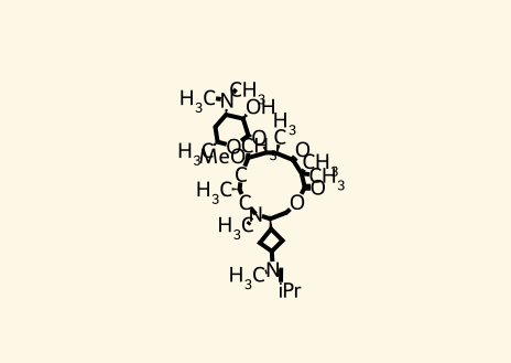 CO[C@]1(C)C[C@@H](C)CN(C)[C@H](C2CC(N(C)CC(C)C)C2)COC(=O)C(C)(C)C(=O)[C@H](C)[C@H]1O[C@@H]1O[C@H](C)C[C@H](N(C)C)[C@H]1O